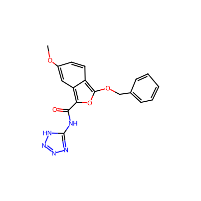 COc1ccc2c(OCc3ccccc3)oc(C(=O)Nc3nnn[nH]3)c2c1